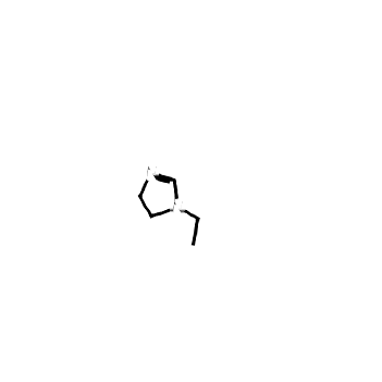 [CH2]CN1C=NCC1